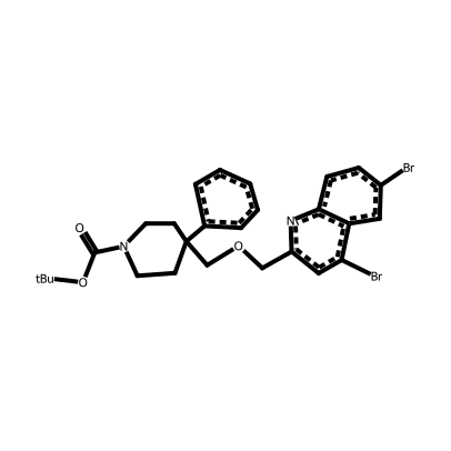 CC(C)(C)OC(=O)N1CCC(COCc2cc(Br)c3cc(Br)ccc3n2)(c2ccccc2)CC1